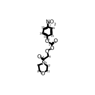 O=C(OOCC(=O)N1CCOCC1)Oc1ccc([N+](=O)[O-])cc1